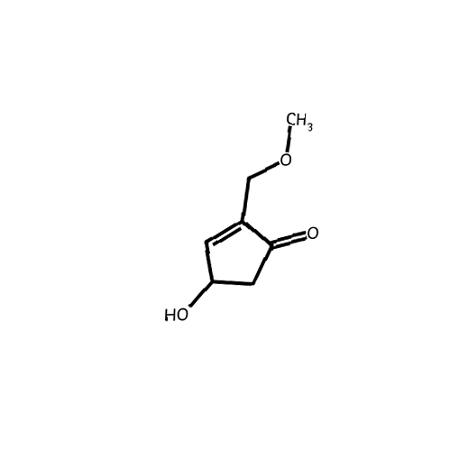 COCC1=CC(O)CC1=O